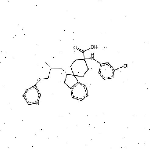 C[C@@H](COc1cccnc1)C[C@H]1Cc2ccccc2C12CCC(Nc1cccc(Cl)c1)(C(=O)O)CC2